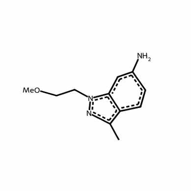 COCCn1nc(C)c2ccc(N)cc21